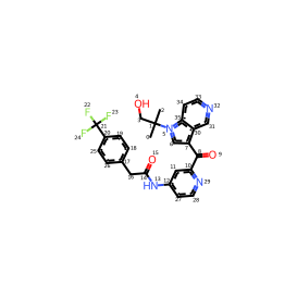 CC(C)(CO)n1cc(C(=O)c2cc(NC(=O)Cc3ccc(C(F)(F)F)cc3)ccn2)c2cnccc21